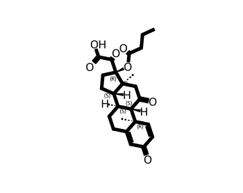 CCCC(=O)O[C@]1(C(=O)C(=O)O)CC[C@H]2[C@@H]3CCC4=CC(=O)C=C[C@]4(C)[C@H]3C(=O)C[C@@]21C